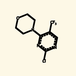 FC(F)(F)c1cnc(Cl)nc1N1CCOCC1